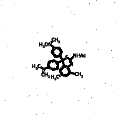 CC(=O)NC1=Nc2c(C)cc(C)cc2C(c2ccc(N(C)C)cc2)(c2ccc(N(C)C)cc2)S1